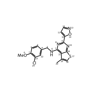 COc1ccc(CNc2nc(-c3ccno3)nc3scc(C)c23)cc1Cl